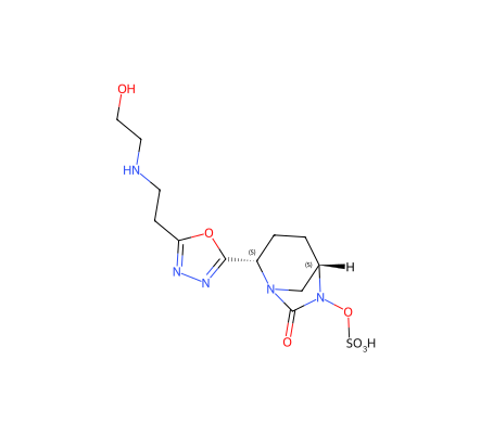 O=C1N2C[C@H](CC[C@H]2c2nnc(CCNCCO)o2)N1OS(=O)(=O)O